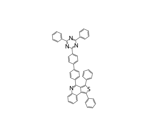 c1ccc(-c2nc(-c3ccccc3)nc(-c3ccc(-c4ccc(-c5nc6ccccc6c6c(-c7ccccc7)sc(-c7ccccc7)c56)cc4)cc3)n2)cc1